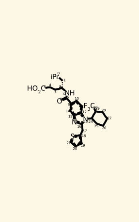 CC(C)C[C@@H](CCC(=O)O)NC(=O)c1ccc2c(c1)nc(Cc1cccs1)n2C1CCCCC1C(F)(F)F